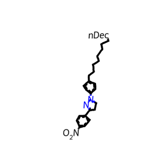 CCCCCCCCCCCCCCCCCCc1ccc(N2CCC(c3ccc([N+](=O)[O-])cc3)=N2)cc1